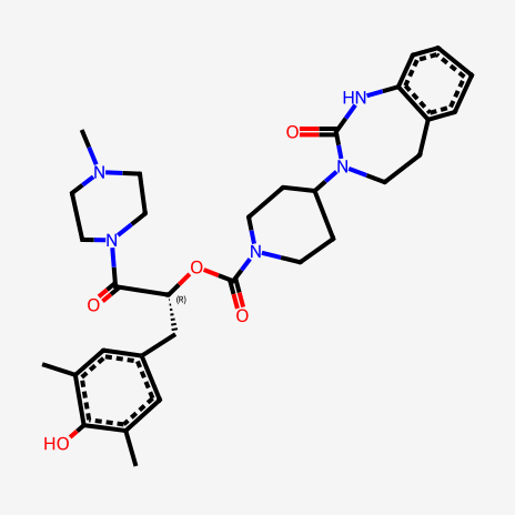 Cc1cc(C[C@@H](OC(=O)N2CCC(N3CCc4ccccc4NC3=O)CC2)C(=O)N2CCN(C)CC2)cc(C)c1O